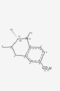 CC1Cc2cc(C(=O)O)ccc2N(C)[C@H]1C